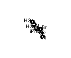 CC(C)C(=O)Oc1c(C=NC(Cc2ccc(O)cc2)C(=O)CO)cc(Br)cc1OC(=O)c1cccnc1